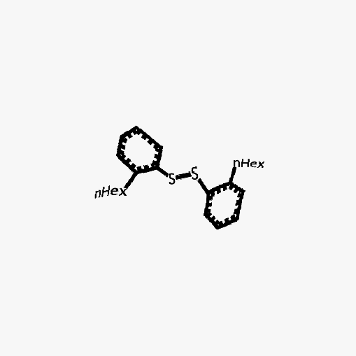 CCCCCCc1ccccc1SSc1ccccc1CCCCCC